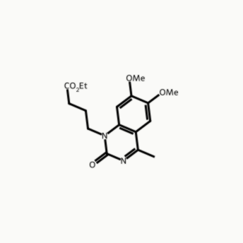 CCOC(=O)CCCn1c(=O)nc(C)c2cc(OC)c(OC)cc21